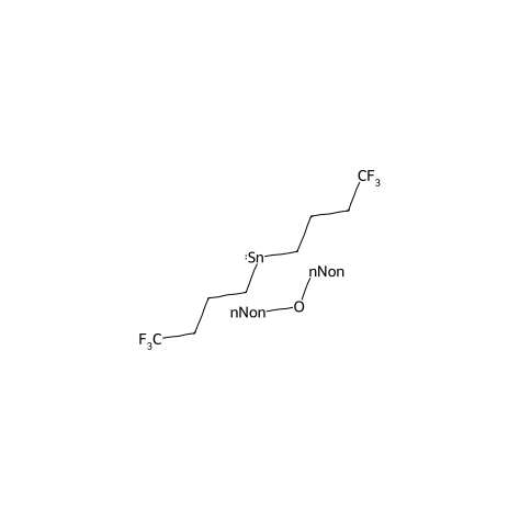 CCCCCCCCCOCCCCCCCCC.FC(F)(F)CC[CH2][Sn][CH2]CCC(F)(F)F